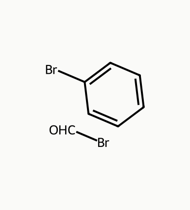 Brc1ccccc1.O=CBr